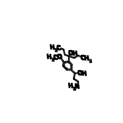 CCCC(O)(CCC)c1cc(C(O)CCN)ccc1OC